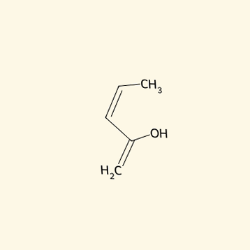 C=C(O)/C=C\C